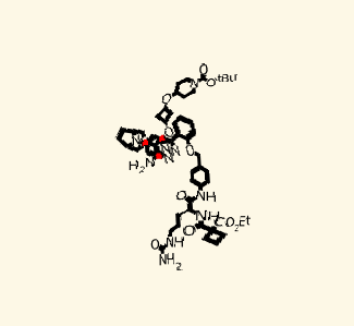 CCOC(=O)C1(C(=O)N[C@@H](CCCNC(N)=O)C(=O)Nc2ccc(COc3ccccc3-c3cc(N4CC5CCC(C4)N5c4ccnc(O[C@H]5C[C@H](OC6CCN(C(=O)OC(C)(C)C)CC6)C5)c4)c(N)nn3)cc2)CCC1